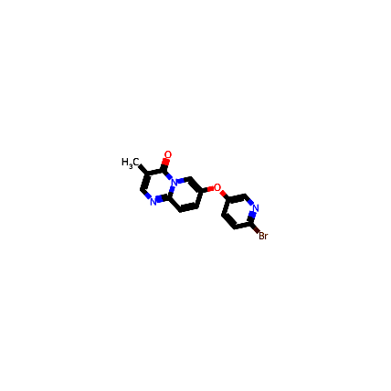 Cc1cnc2ccc(Oc3ccc(Br)nc3)cn2c1=O